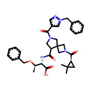 C[C@@H](OCc1ccccc1)[C@H](NC(=O)C1CN(C(=O)c2cnn(Cc3ccccc3)c2)CC12CN(C(=O)[C@H]1CC1(C)C)C2)C(=O)O